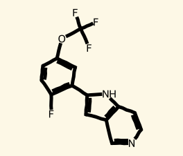 Fc1ccc(OC(F)(F)F)cc1-c1cc2cnccc2[nH]1